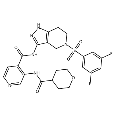 O=C(Nc1n[nH]c2c1CN(S(=O)(=O)c1cc(F)cc(F)c1)CC2)c1ccncc1NC(=O)C1CCOCC1